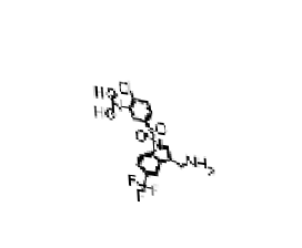 NCc1cn(S(=O)(=O)c2ccc(Cl)c(N(O)O)c2)c2ccc(C(F)(F)F)cc12